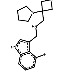 Fc1cccc2[nH]cc(CNCC3(N4CCCC4)COC3)c12